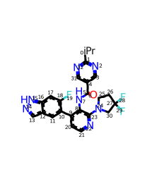 CC(C)c1ncc(C(=O)Nc2c(-c3cc4cn[nH]c4cc3F)ccnc2N2CCC(F)(F)C2)cn1